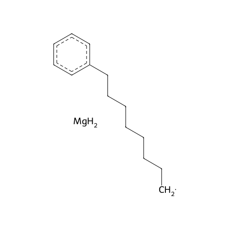 [CH2]CCCCCCCc1ccccc1.[MgH2]